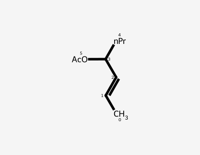 CC=CC(CCC)OC(C)=O